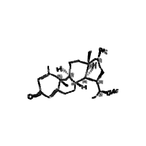 CC(=O)O[C@@H](C)[C@@H]1C[C@H](OC(C)=O)[C@@]2(C)CC[C@H]3[C@@H](CCC4=CC(=O)C=C(C)[C@@]43C)[C@H]12